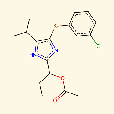 CCC(OC(C)=O)c1nc(Sc2cccc(Cl)c2)c(C(C)C)[nH]1